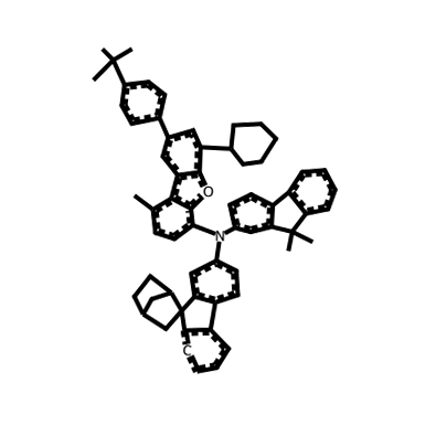 Cc1ccc(N(c2ccc3c(c2)C(C)(C)c2ccccc2-3)c2ccc3c(c2)C2(CC4CCC2C4)c2ccccc2-3)c2oc3c(C4CCCCC4)cc(-c4ccc(C(C)(C)C)cc4)cc3c12